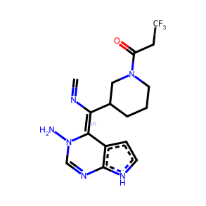 C=N/C(=C1/c2cc[nH]c2N=CN1N)C1CCCN(C(=O)CC(F)(F)F)C1